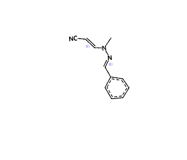 CN(/C=C/C#N)/N=C/c1ccccc1